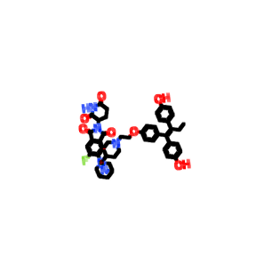 CCC(=C(c1ccc(O)cc1)c1ccc(OCCN2CCC(CN3C4CC3CN(c3cc5c(cc3F)C(=O)N(C3CCC(=O)NC3=O)C5=O)C4)CC2)cc1)c1ccc(O)cc1